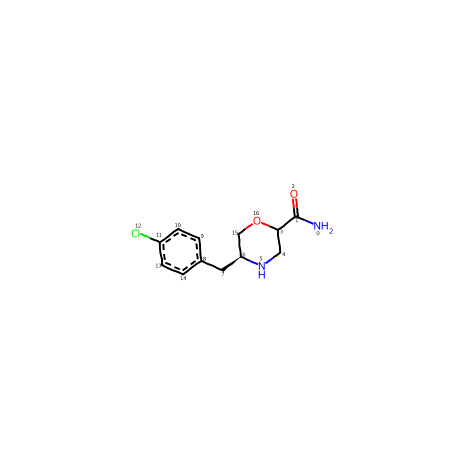 NC(=O)C1CN[C@@H](Cc2ccc(Cl)cc2)CO1